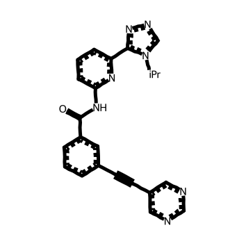 CC(C)n1cnnc1-c1cccc(NC(=O)c2cccc(C#Cc3cncnc3)c2)n1